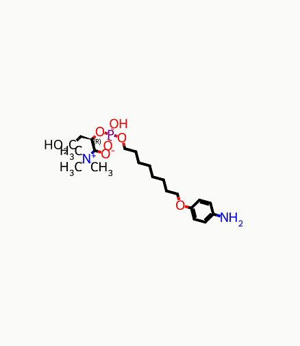 C[N+](C)(C)C([O-])[C@@H](CC(=O)O)OP(=O)(O)OCCCCCCCCOc1ccc(N)cc1